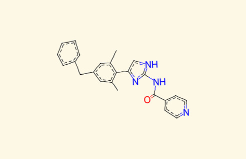 Cc1cc(Cc2ccccc2)cc(C)c1-c1c[nH]c(NC(=O)c2ccncc2)n1